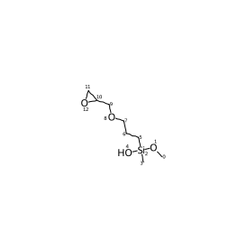 CO[Si](C)(O)CCCOCC1CO1